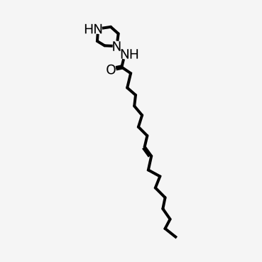 CCCCCCCCC=CCCCCCCCC(=O)NN1CCNCC1